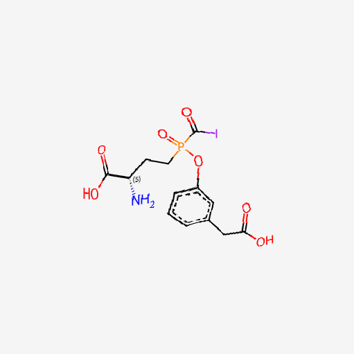 N[C@@H](CCP(=O)(Oc1cccc(CC(=O)O)c1)C(=O)I)C(=O)O